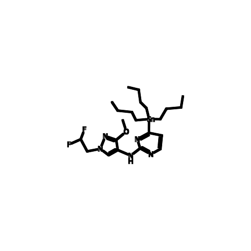 CCC[CH2][Sn]([CH2]CCC)([CH2]CCC)[c]1ccnc(Nc2cn(CC(F)F)nc2OC)n1